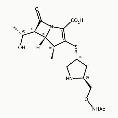 CC(=O)NOC[C@@H]1C[C@@H](SC2=C(C(=O)O)N3C(=O)[C@H]([C@@H](C)O)[C@H]3[C@H]2C)CN1